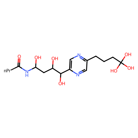 CCCC(=O)NC(O)CC(O)C(O)c1cnc(CCCC(O)(O)O)cn1